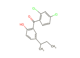 CCC(C)c1ccc(O)c(C(=O)c2ccc(Cl)cc2Cl)c1